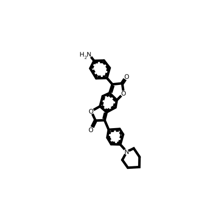 Nc1ccc(C2=c3cc4c(cc3OC2=O)=C(c2ccc(N3CCCCC3)cc2)C(=O)O4)cc1